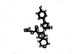 Cc1ccc(-c2c[nH]c([C@@H]3CC4(CCOCC4)CN3C(=O)OC(C)(C)C)n2)cc1